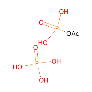 CC(=O)OP(=O)(O)O.O=P(O)(O)O